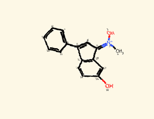 C/[N+](O)=C1/C=C(c2ccccc2)c2ccc(O)cc21